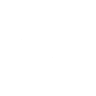 C1=CC=S(Cc2ccccc2)C=C1